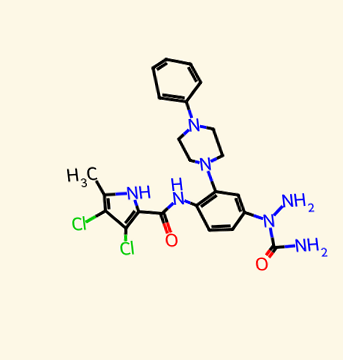 Cc1[nH]c(C(=O)Nc2ccc(N(N)C(N)=O)cc2N2CCN(c3ccccc3)CC2)c(Cl)c1Cl